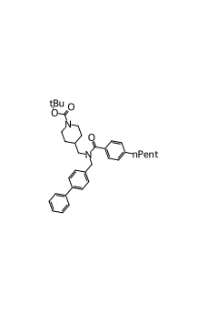 CCCCCc1ccc(C(=O)N(Cc2ccc(-c3ccccc3)cc2)CC2CCN(C(=O)OC(C)(C)C)CC2)cc1